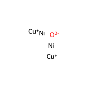 [Cu+].[Cu+].[Ni].[Ni].[O-2]